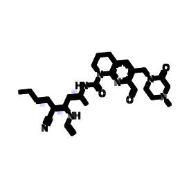 C=CNC(/C=C(\C)NC(=O)N1CCCc2cc(CN3CCN(C)CC3=O)c(C=O)nc21)=C(C#N)/C=C/CC